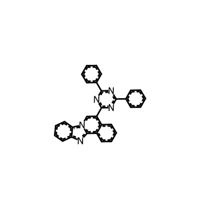 c1ccc(-c2nc(-c3ccccc3)nc(-c3cn4c5ccccc5nc4c4ccccc34)n2)cc1